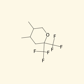 CC1COC(C(F)(F)F)(C(F)(F)F)CC1C